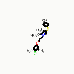 Cc1ccc(Sc2cn(CCCOc3cc(C)c(Cl)c(C)c3)c(C(=O)O)c2C)cc1